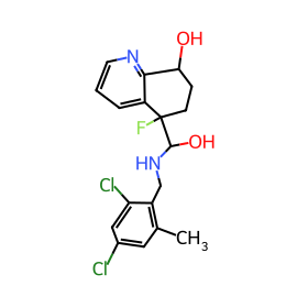 Cc1cc(Cl)cc(Cl)c1CNC(O)C1(F)CCC(O)c2ncccc21